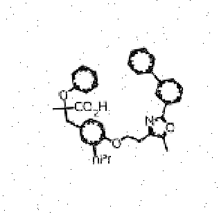 CCCc1cc(CC(C)(Oc2ccccc2)C(=O)O)ccc1OCCc1nc(-c2cccc(-c3ccccc3)c2)oc1C